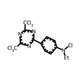 CCN(Cl)c1ccc(-c2nc(C(Cl)(Cl)Cl)nc(C(Cl)(Cl)Cl)n2)cc1